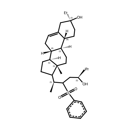 CC[C@]1(O)CC[C@H]2C(=CC[C@@H]3[C@@H]2CC[C@]2(C)C([C@H](C)C(C[C@H](O)C(C)C)S(=O)(=O)c4ccccc4)CC[C@@H]32)C1